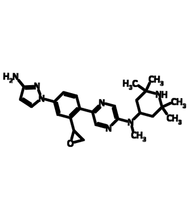 CN(c1cnc(-c2ccc(-n3ccc(N)n3)cc2C2CO2)cn1)C1CC(C)(C)NC(C)(C)C1